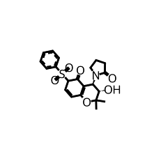 CC1(C)OC2=C(C(=O)C(S(=O)(=O)c3ccccc3)C=C2)[C@@H](N2CCCC2=O)[C@@H]1O